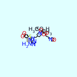 CS(=O)(=O)O.C[C@H](OC(=O)CCCN1CCOCC1)C(=O)N1CCC(CCn2c(Sc3cc4c(cc3Br)OCO4)nc3c(N)ncnc32)CC1